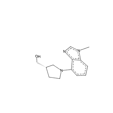 Cn1cnc2c(N3CC[C@H](CO)C3)cccc21